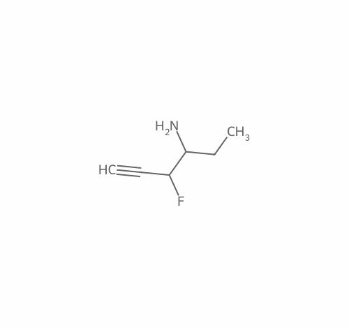 C#CC(F)C(N)CC